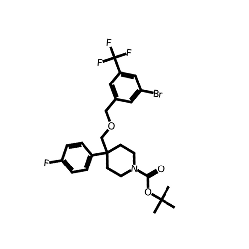 CC(C)(C)OC(=O)N1CCC(COCc2cc(Br)cc(C(F)(F)F)c2)(c2ccc(F)cc2)CC1